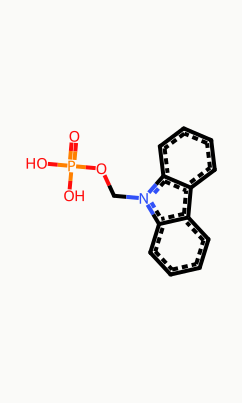 O=P(O)(O)OCn1c2ccccc2c2ccccc21